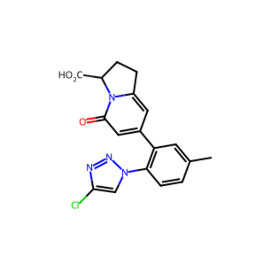 Cc1ccc(-n2cc(Cl)nn2)c(-c2cc3n(c(=O)c2)C(C(=O)O)CC3)c1